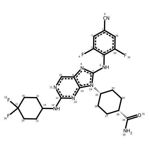 N#Cc1cc(F)c(Nc2nc3cnc(NC4CCC(F)(F)CC4)nc3n2[C@H]2CC[C@@H](C(N)=O)CC2)c(F)c1